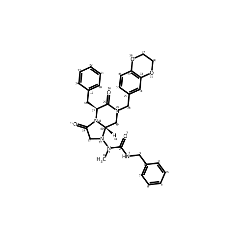 CN(C(=O)NCc1ccccc1)N1CC(=O)N2[C@@H](Cc3ccccc3)C(=O)N(Cc3ccc4c(c3)OCCO4)C[C@@H]21